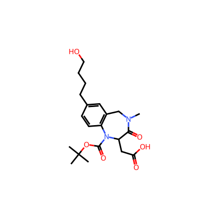 CN1Cc2cc(CCCCO)ccc2N(C(=O)OC(C)(C)C)C(CC(=O)O)C1=O